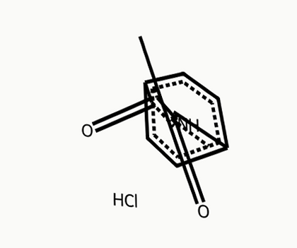 Cl.O=c1[nH]c(=O)c2ccc1cc2